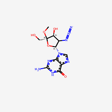 CO[C@]1(CO)O[C@@H](n2cnc3c(=O)[nH]c(N)nc32)C(N=[N+]=[N-])[C@@H]1O